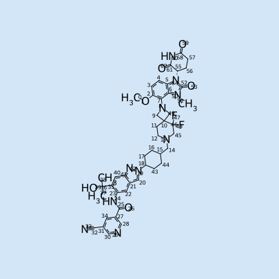 COc1ccc2c(c1N1CC3(CCN(CC4CCC(n5cc6cc(NC(=O)c7cncc(C#N)c7)c(C(C)(C)O)cc6n5)CC4)CC3(F)F)C1)n(C)c(=O)n2[C@H]1CCC(=O)NC1=O